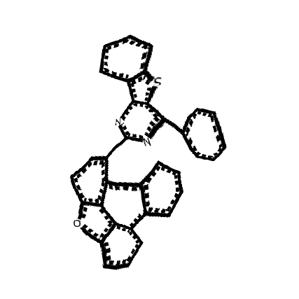 c1ccc(-c2nc(-c3ccc4oc5cccc6c7ccccc7c3c4c56)nc3c2sc2ccccc23)cc1